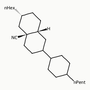 CCCCCC[C@@H]1CC[C@@H]2CC(C3CCC(CCCCC)CC3)CC[C@]2(C#N)C1